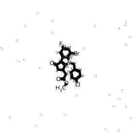 COC(=O)CC1CC(=O)c2c1n(Cc1ccc(Cl)cc1)c1c(Br)cc(F)cc21